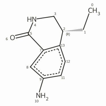 CC[C@H]1CNC(=O)c2cc(N)ccc21